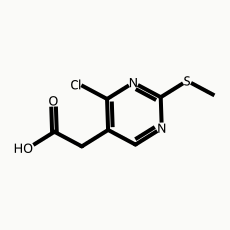 CSc1ncc(CC(=O)O)c(Cl)n1